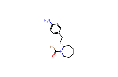 Nc1ccc(CC[C@@H]2CCCCCN2C(=O)S)cc1